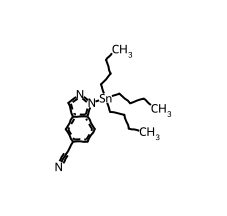 CCC[CH2][Sn]([CH2]CCC)([CH2]CCC)[n]1ncc2cc(C#N)ccc21